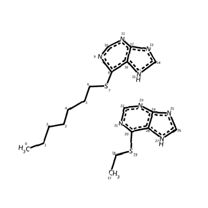 CCCCCCCSc1ncnc2nc[nH]c12.CCSc1ncnc2nc[nH]c12